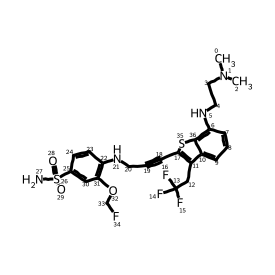 CN(C)CCNc1cccc2c(CC(F)(F)F)c(C#CCNc3ccc(S(N)(=O)=O)cc3OCF)sc12